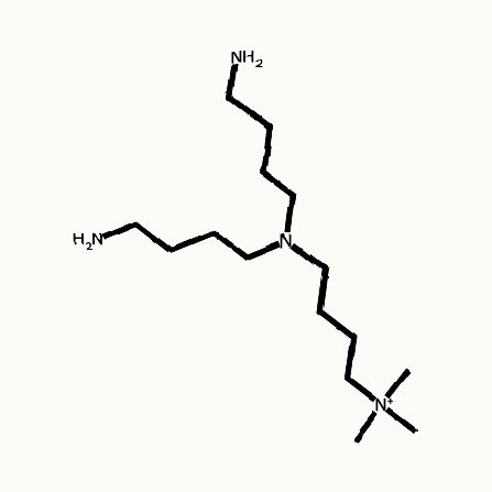 C[N+](C)(C)CCCCN(CCCCN)CCCCN